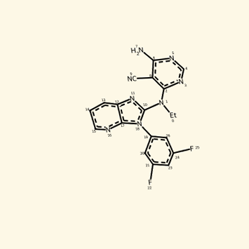 CCN(c1ncnc(N)c1C#N)c1nc2cccnc2n1-c1cc(F)cc(F)c1